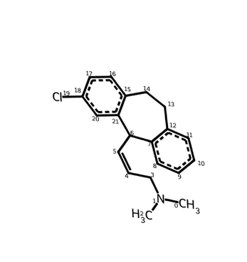 CN(C)C/C=C\C1c2ccccc2CCc2ccc(Cl)cc21